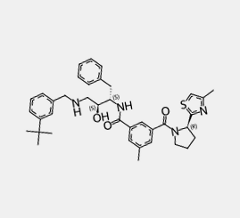 Cc1cc(C(=O)N[C@@H](Cc2ccccc2)[C@@H](O)CNCc2cccc(C(C)(C)C)c2)cc(C(=O)N2CCC[C@@H]2c2nc(C)cs2)c1